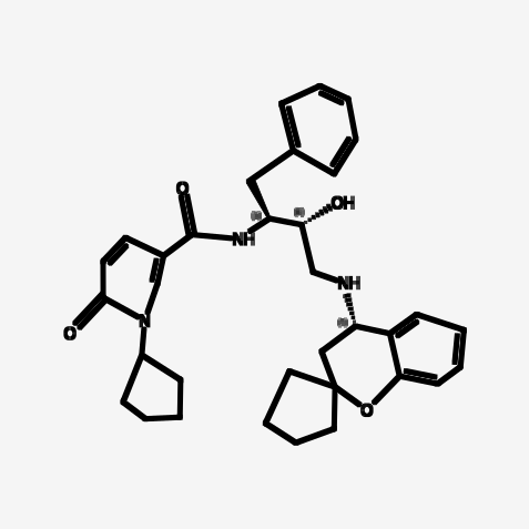 O=C(N[C@@H](Cc1ccccc1)[C@H](O)CN[C@H]1CC2(CCCC2)Oc2ccccc21)c1ccc(=O)n(C2CCCC2)c1